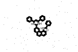 C1=C(c2ccccc2)NC(c2ccc3ccc4ccc5c(c4c3c2)NC(c2ccccc2)O5)NC1c1ccccc1